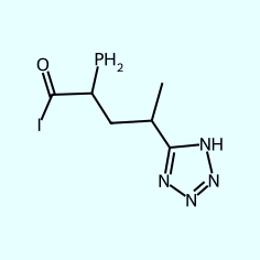 CC(CC(P)C(=O)I)c1nnn[nH]1